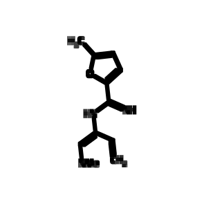 C=C/C(=C\NC)NC(=N)c1ccc(C)o1